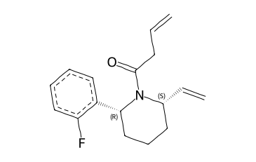 C=CCC(=O)N1[C@H](C=C)CCC[C@@H]1c1ccccc1F